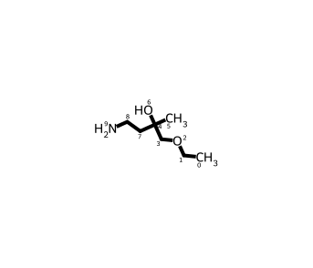 CCOCC(C)(O)CCN